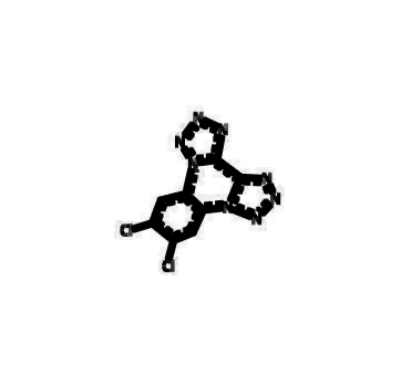 Clc1cc2c(cc1Cl)n1nnnc1c1nnnn21